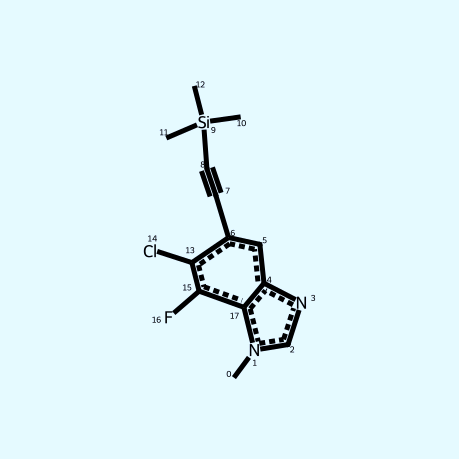 Cn1cnc2cc(C#C[Si](C)(C)C)c(Cl)c(F)c21